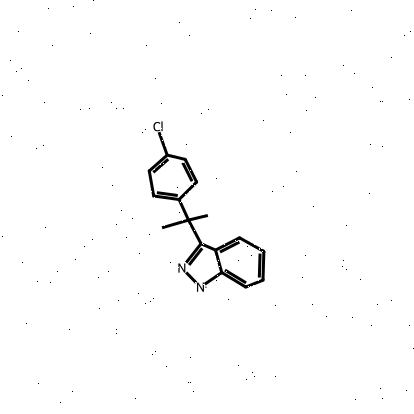 CC(C)(C1=N[N]c2ccccc21)c1ccc(Cl)cc1